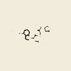 COc1cccc2c1ccn2[C@@H](CC(C)C)C(=O)N[C@@H](C[C@@H]1CCNC1=O)C(=O)CO